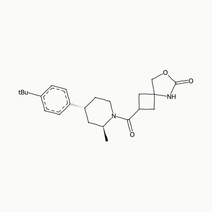 C[C@H]1C[C@H](c2ccc(C(C)(C)C)cc2)CCN1C(=O)C1CC2(COC(=O)N2)C1